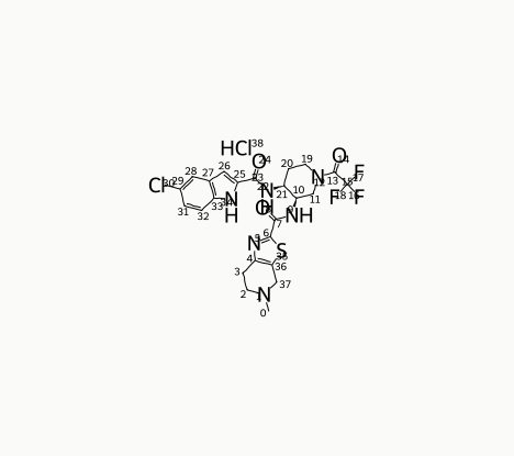 CN1CCc2nc(C(=O)N[C@@H]3CN(C(=O)C(F)(F)F)CC[C@@H]3NC(=O)c3cc4cc(Cl)ccc4[nH]3)sc2C1.Cl